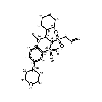 C=CCS(=O)(=O)N1C(C2CCCCC2)N(C)c2ccc(N3CCOCC3)cc2S1(=O)=O